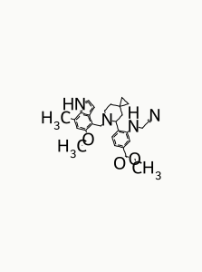 COC(=O)c1ccc(C2CC3(CCN2Cc2c(OC)cc(C)c4[nH]ccc24)CC3)c(NCC#N)c1